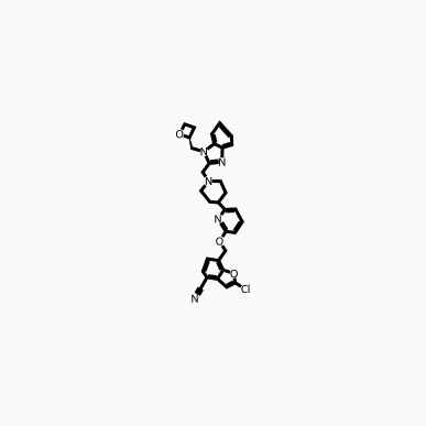 N#Cc1ccc(COc2cccc(C3CCN(Cc4nc5ccccc5n4C[C@@H]4CCO4)CC3)n2)c2oc(Cl)cc12